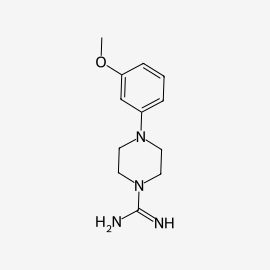 COc1cccc(N2CCN(C(=N)N)CC2)c1